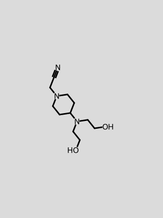 N#CCN1CCC(N(CCO)CCO)CC1